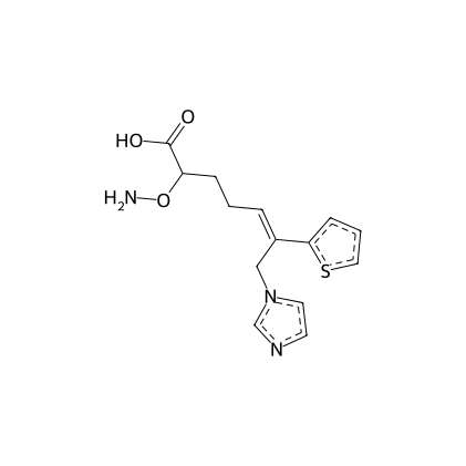 NOC(CC/C=C(\Cn1ccnc1)c1cccs1)C(=O)O